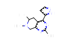 Cc1nc2c(c(-c3ccn[nH]3)n1)CC(C)N(C)C2